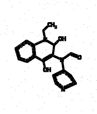 CCN1c2ccccc2C(O)=C(N(C=O)c2ccncc2)C1O